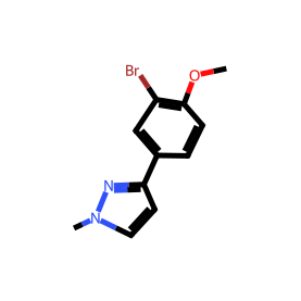 COc1ccc(-c2ccn(C)n2)cc1Br